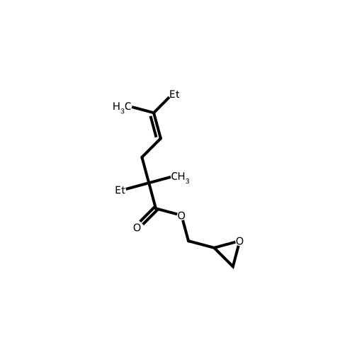 CCC(C)=CCC(C)(CC)C(=O)OCC1CO1